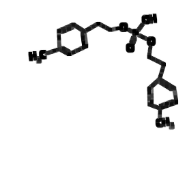 Cc1ccc(CCOP(=O)(O)OCCc2ccc(C)cc2)cc1